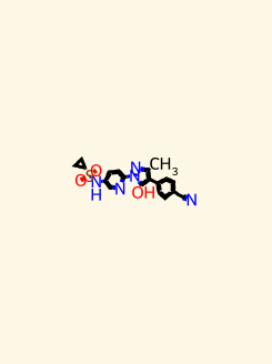 Cc1nn(-c2ccc(NS(=O)(=O)C3CC3)cn2)c(O)c1-c1ccc(C#N)cc1